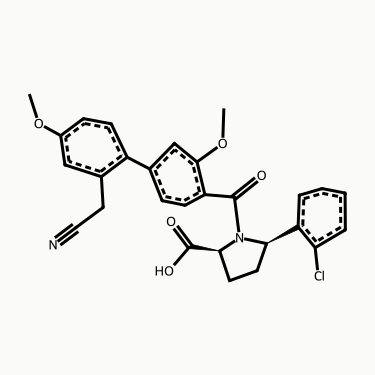 COc1ccc(-c2ccc(C(=O)N3[C@@H](c4ccccc4Cl)CC[C@H]3C(=O)O)c(OC)c2)c(CC#N)c1